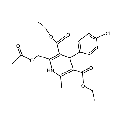 CCOC(=O)C1=C(C)NC(COC(C)=O)=C(C(=O)OCC)C1c1ccc(Cl)cc1